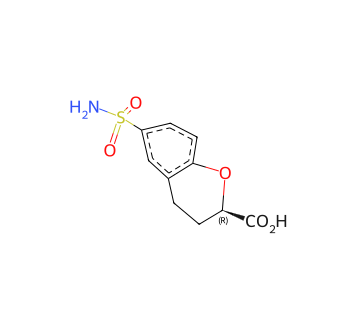 NS(=O)(=O)c1ccc2c(c1)CC[C@H](C(=O)O)O2